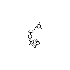 Cc1oc(-c2c(Cl)cccc2C(F)(F)F)nc1CN1CCC(C(=O)NCCCN2C[C@H](C)C[C@H](C)C2)CC1